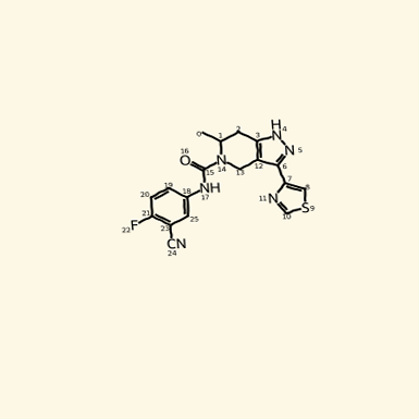 CC1Cc2[nH]nc(-c3cscn3)c2CN1C(=O)Nc1ccc(F)c(C#N)c1